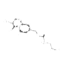 O=C(NCCO)OCc1ccn2c(=O)c(Br)cnc2c1